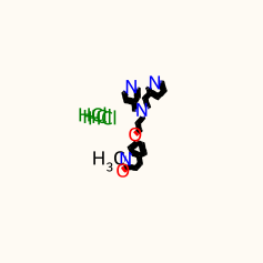 CN1C(=O)CCc2ccc(OCCCN(CCc3cccnc3)Cc3ccncc3)cc21.Cl.Cl.Cl